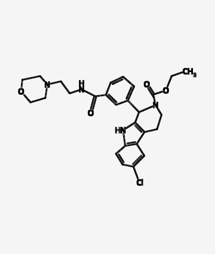 CCOC(=O)N1CCc2c([nH]c3ccc(Cl)cc23)C1c1cccc(C(=O)NCCN2CCOCC2)c1